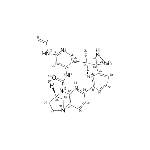 C=CNc1nccc(NC(=O)N2c3nc(-c4cccc(C5(C(F)(F)F)NN5)c4)ccc3N3CC[C@H]2C3)n1